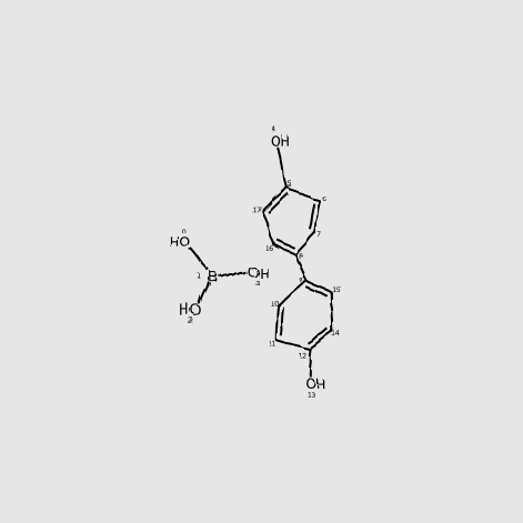 OB(O)O.Oc1ccc(-c2ccc(O)cc2)cc1